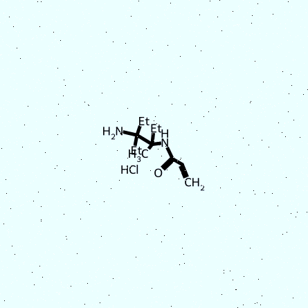 C=CC(=O)NC(C)(CC)C(N)(CC)CC.Cl